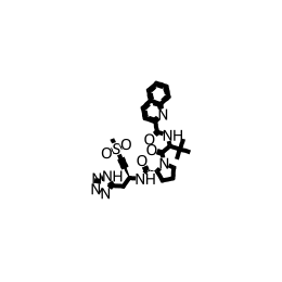 CC(C)(C)C(NC(=O)c1ccc2ccccc2n1)C(=O)N1CCC[C@@H]1C(=O)N[C@H](C#CS(C)(=O)=O)Cc1nnn[nH]1